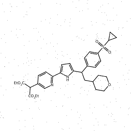 CCOC(=O)C(C(=O)OCC)c1ccc(-c2ccc(C(CC3CCOCC3)c3ccc(S(=O)(=O)C4CC4)cc3)[nH]2)nc1